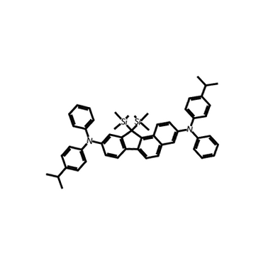 CC(C)c1ccc(N(c2ccccc2)c2ccc3c(c2)C([Si](C)(C)C)([Si](C)(C)C)c2c-3ccc3cc(N(c4ccccc4)c4ccc(C(C)C)cc4)ccc23)cc1